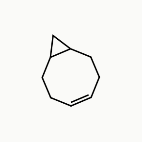 C1=CCCC2CC2CC1